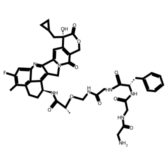 Cc1c(F)cc2nc3c(c4c2c1CC[C@@H]4NC(=O)[C@@H](C)OCNC(=O)CNC(=O)[C@H](Cc1ccccc1)NC(=O)CNC(=O)CN)Cn1c-3cc2c(c1=O)COC(=O)[C@]2(O)CC1CC1